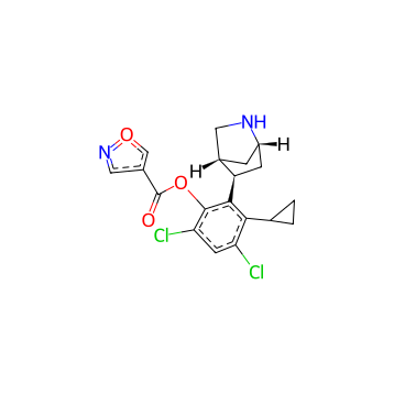 O=C(Oc1c(Cl)cc(Cl)c(C2CC2)c1[C@@H]1C[C@@H]2C[C@H]1CN2)c1cnoc1